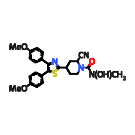 COc1ccc(-c2nc(C3CCN(C(=O)N(C)O)C(C#N)C3)sc2-c2ccc(OC)cc2)cc1